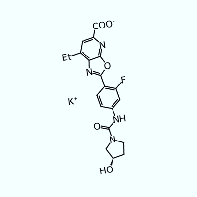 CCc1cc(C(=O)[O-])nc2oc(-c3ccc(NC(=O)N4CC[C@@H](O)C4)cc3F)nc12.[K+]